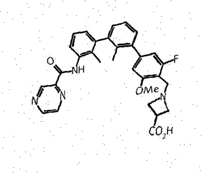 COc1cc(-c2cccc(-c3cccc(NC(=O)c4cnccn4)c3C)c2C)cc(F)c1CN1CC(C(=O)O)C1